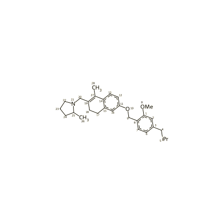 COc1cc(CC(C)C)ccc1COc1ccc2c(c1)CCC(CN1CCCC1C)=C2C